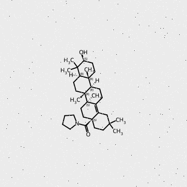 CC1(C)CC[C@]2(C(=O)N3CCCC3)CC[C@]3(C)C(=C2C1)CC[C@@H]1[C@@]2(C)CC[C@H](O)C(C)(C)[C@@H]2CC[C@]13C